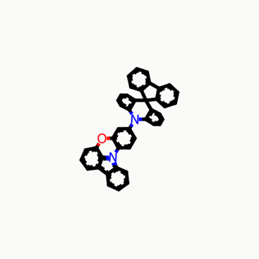 c1ccc2c(c1)-c1ccccc1C21c2ccccc2N(c2ccc3c(c2)Oc2cccc4c5ccccc5n-3c24)c2ccccc21